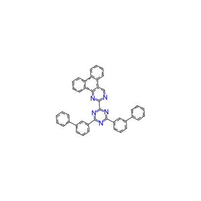 c1ccc(-c2cccc(-c3nc(-c4cccc(-c5ccccc5)c4)nc(-c4ncc5c6ccccc6c6ccccc6c5n4)n3)c2)cc1